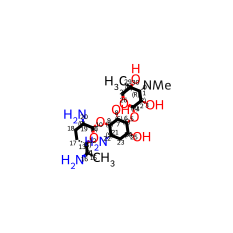 CN[C@@H]1[C@@H](O)[C@@H](O[C@@H]2[C@@H](O)[C@H](O[C@H]3O[C@H]([C@@H](C)N)CC[C@H]3N)[C@@H](N)C[C@H]2O)OC[C@]1(C)O